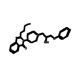 CCCCc1nc2ccccc2c(=O)n1C1CCN(CC(O)COc2ccccc2)CC1